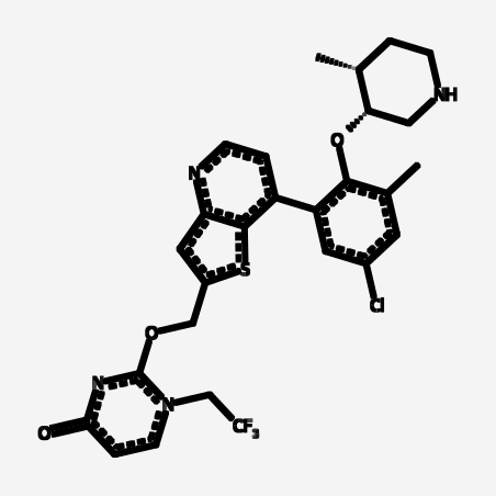 Cc1cc(Cl)cc(-c2ccnc3cc(COc4nc(=O)ccn4CC(F)(F)F)sc23)c1O[C@H]1CNCC[C@H]1C